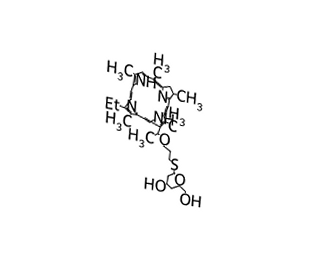 CCC1=C(C)c2cc3[nH]c(cc4nc(c(C)c5cc(C)c(cc1n2)[nH]5)CC4C)c(C)c3C(C)OCCCSC1CC(O)CC(CO)O1